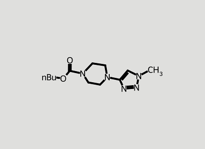 CCCCOC(=O)N1CCN(c2cn(C)nn2)CC1